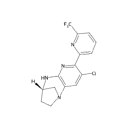 FC(F)(F)c1cccc(-c2nc3c(cc2Cl)N2CC[C@@H](C2)N3)n1